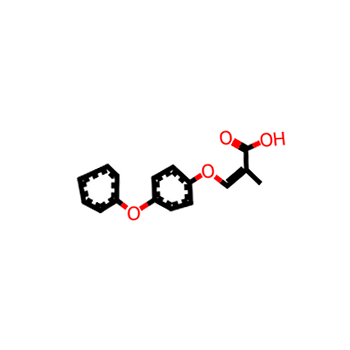 CC(=COc1ccc(Oc2ccccc2)cc1)C(=O)O